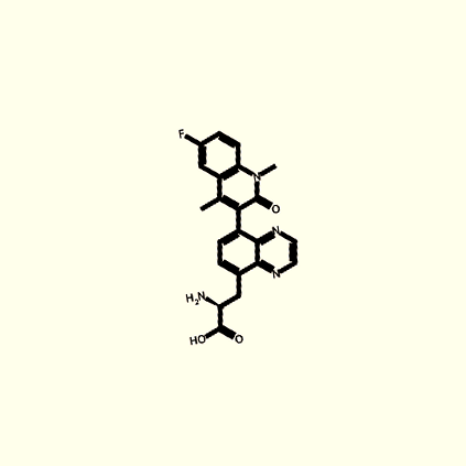 Cc1c(-c2ccc(C[C@H](N)C(=O)O)c3nccnc23)c(=O)n(C)c2ccc(F)cc12